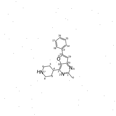 Cc1nc(C2CCNCC2)c2oc(-c3ccccc3)cc2n1